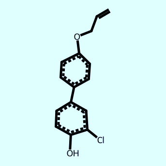 C=CCOc1ccc(-c2ccc(O)c(Cl)c2)cc1